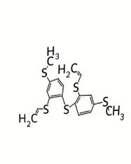 C=CSc1cc(SC)ccc1Sc1ccc(SC)cc1SC=C